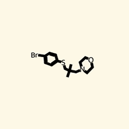 CC(C)(CSc1ccc(Br)cc1)CN1CCOCC1